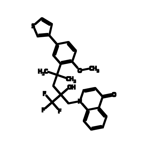 COc1ccc(-c2ccsc2)cc1C(C)(C)CC(O)(Cn1ccc(=O)c2ccccc21)C(F)(F)F